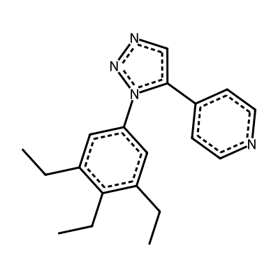 CCc1cc(-n2nncc2-c2ccncc2)cc(CC)c1CC